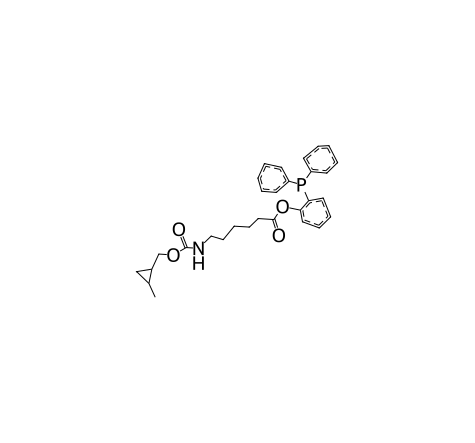 CC1CC1COC(=O)NCCCCCC(=O)Oc1ccccc1P(c1ccccc1)c1ccccc1